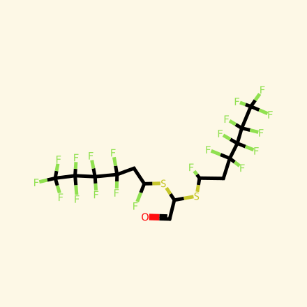 O=CC(SC(F)CC(F)(F)C(F)(F)C(F)(F)C(F)(F)F)SC(F)CC(F)(F)C(F)(F)C(F)(F)C(F)(F)F